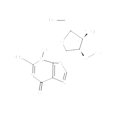 CO[C@@H]1[C@H](O)[C@@H](CO)O[C@H]1n1cnc2c(=O)nc(N)n(C)c21